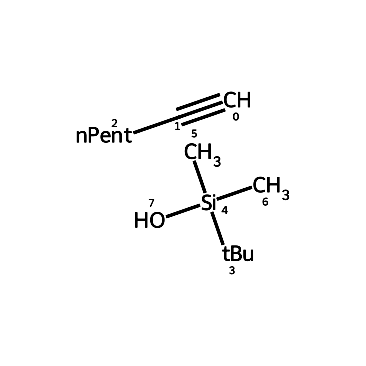 C#CCCCCC.CC(C)(C)[Si](C)(C)O